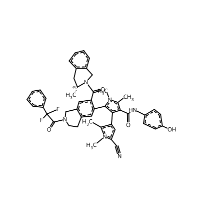 Cc1c(-c2c(C(=O)Nc3ccc(O)cc3)c(C)n(C)c2-c2cc3c(cc2C(=O)N2Cc4ccccc4C[C@H]2C)CN(C(=O)C(F)(F)c2ccccc2)CC3)cc(C#N)n1C